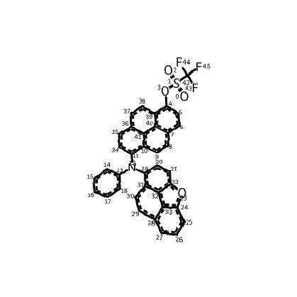 O=S(=O)(Oc1ccc2ccc3c(N(c4ccccc4)c4ccc5oc6cccc7ccc4c5c76)ccc4ccc1c2c43)C(F)(F)F